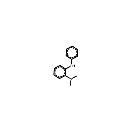 CN(C)c1ccccc1Pc1ccccc1